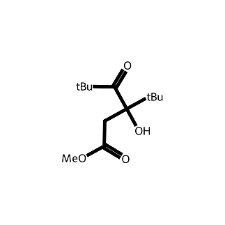 COC(=O)CC(O)(C(=O)C(C)(C)C)C(C)(C)C